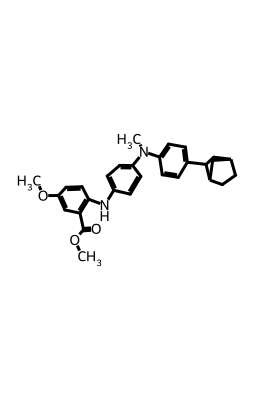 COC(=O)c1cc(OC)ccc1Nc1ccc(N(C)c2ccc(C3CC4CCC3C4)cc2)cc1